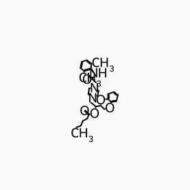 CCCCCC(=O)OC(CN1CCN(CC(=O)Nc2c(C)cccc2C)CC1)C1COc2ccccc2O1